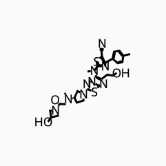 Cc1ccc(-c2nc(N(C)c3c(CCO)nc4sc(N5CC[C@@H](N(C)CC(=O)N6CC(O)C6)C5)nn34)sc2C#N)cc1